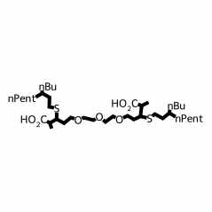 CCCCCC(CCCC)CCSC(CCOCCOCCOCCC(SCCC(CCCC)CCCCC)C(C)C(=O)O)C(C)C(=O)O